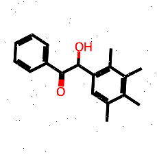 Cc1cc(C(O)C(=O)c2ccccc2)c(C)c(C)c1C